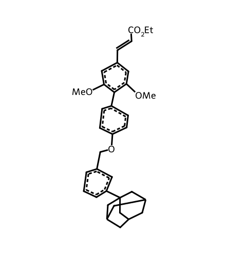 CCOC(=O)C=Cc1cc(OC)c(-c2ccc(OCc3cccc(C45CC6CC(CC(C6)C4)C5)c3)cc2)c(OC)c1